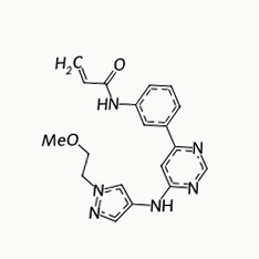 C=CC(=O)Nc1cccc(-c2cc(Nc3cnn(CCOC)c3)ncn2)c1